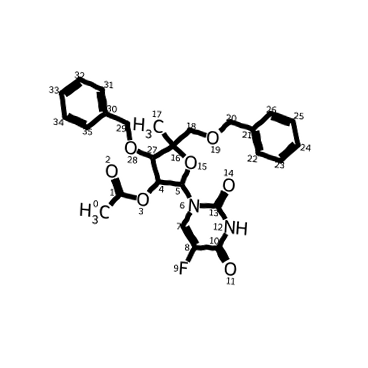 CC(=O)OC1C(n2cc(F)c(=O)[nH]c2=O)OC(C)(COCc2ccccc2)C1OCc1ccccc1